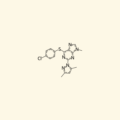 Cc1cc(C)n(-c2nc(Sc3ccc(Cl)cc3)c3ncn(C)c3n2)n1